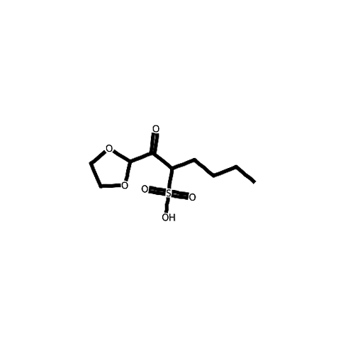 CCCCC(C(=O)C1OCCO1)S(=O)(=O)O